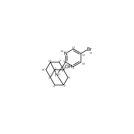 OC12CC3CC(C1)N(c1ccc(Br)cn1)C(C3)C2